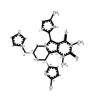 Cc1csc(-c2c3c(=O)n(C)c(=O)n(C)c3c3n2C[C@@H](Cn2ccnc2)S[C@H]3c2ccc(Cl)o2)n1